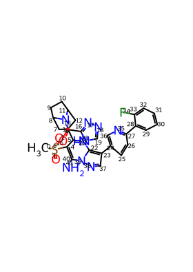 CS(=O)(=O)c1c(C2CC3CCC(C2)N3C(=O)c2nnc[nH]2)nc2c(-c3ccc(-c4ccccc4F)nc3)cnn2c1N